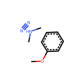 CNC.COc1ccccc1.N#N